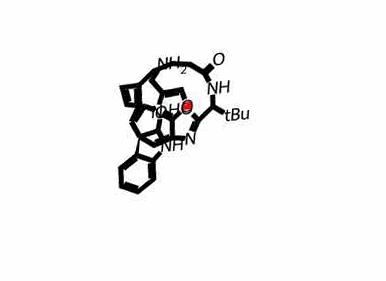 CC(C)(C)C1NC(=O)CCCc2ccc3c(c2)[C@]2(/C=C(c4nc(CN)co4)/N=C/1O)c1ccccc1NC2O3